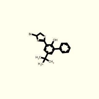 CC(C)(C)c1cc(C2=NC(Br)CS2)c(O)c(-c2ccccc2)c1